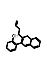 C=CCCC1=C(C2=C(O)CCC=C2)C=C2C=CC=CC2C1